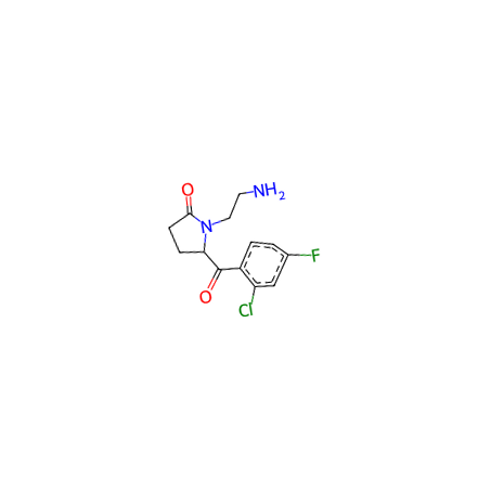 NCCN1C(=O)CCC1C(=O)c1ccc(F)cc1Cl